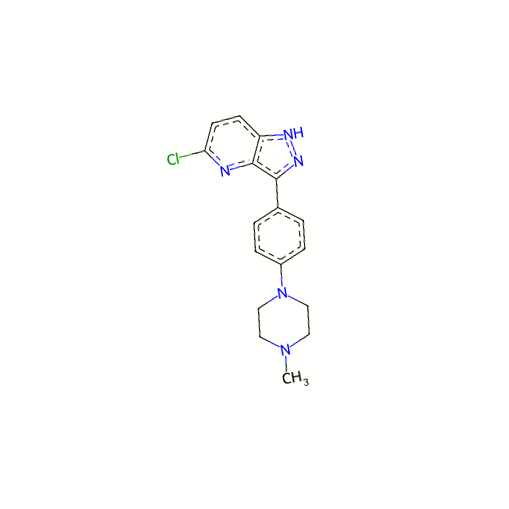 CN1CCN(c2ccc(-c3n[nH]c4ccc(Cl)nc34)cc2)CC1